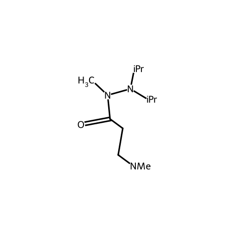 CNCCC(=O)N(C)N(C(C)C)C(C)C